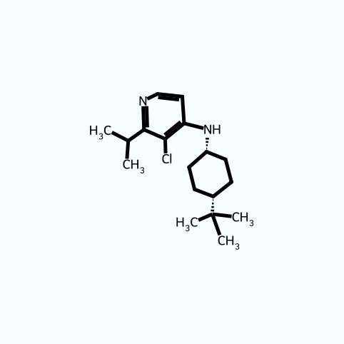 CC(C)c1nccc(N[C@H]2CC[C@@H](C(C)(C)C)CC2)c1Cl